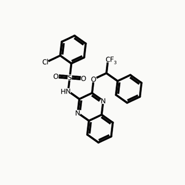 O=S(=O)(Nc1nc2ccccc2nc1OC(c1ccccc1)C(F)(F)F)c1ccccc1Cl